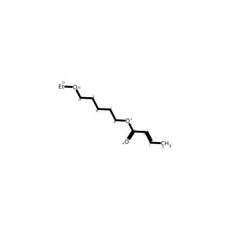 CC=CC(=O)OCCCCCOCC